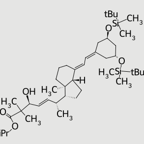 CC(C)OC(=O)C(C)(C)[C@@H](O)/C=C/[C@@H](C)[C@H]1CC[C@H]2/C(=C/C=C3C[C@@H](O[Si](C)(C)C(C)(C)C)C[C@H](O[Si](C)(C)C(C)(C)C)C3)CCC[C@]12C